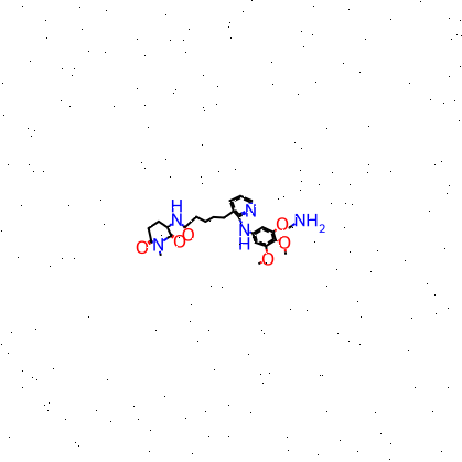 COc1cc(Nc2ncccc2CCCCC(=O)NC2CCC(=O)N(C)C2=O)cc(OCN)c1OC